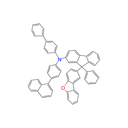 c1ccc(-c2ccc(N(c3ccc(-c4cccc5ccccc45)cc3)c3ccc4c(c3)C(c3ccccc3)(c3ccc5oc6ccccc6c5c3)c3ccccc3-4)cc2)cc1